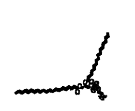 CCCCCCCCCCCCCCCCCCCCC(=O)OC[C@H](COP(=O)([O-])OCC[N+](C)(C)C)OC(=O)CCCCCCCCCCCCCCCCC